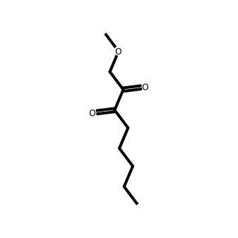 CCCCCC(=O)C(=O)COC